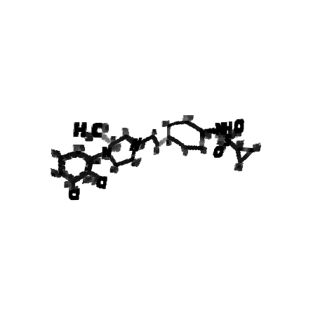 C[C@@H]1CN(CC[C@H]2CC[C@H](NS(=O)(=O)C3CC3)CC2)CCN1c1cccc(Cl)c1Cl